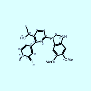 COc1cc2c(cc1OC)N(c1ccc(C(C)O)c(-c3ccn(C)c(=O)c3)n1)CN2